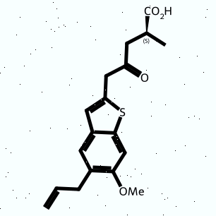 C=CCc1cc2cc(CC(=O)C[C@H](C)C(=O)O)sc2cc1OC